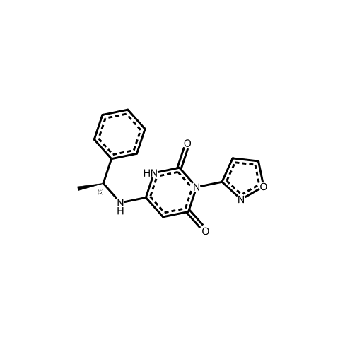 C[C@H](Nc1cc(=O)n(-c2ccon2)c(=O)[nH]1)c1ccccc1